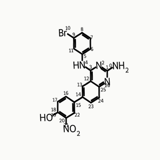 Nc1nc(Nc2cccc(Br)c2)c2cc(-c3ccc(O)c([N+](=O)[O-])c3)ccc2n1